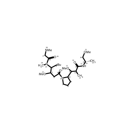 CCC(C)C(C(CC(=O)N1CCCC1C(OC)C(C)C(=O)N[C@@H](C)COC)OC)N(C)C(=O)CNC